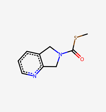 CSC(=O)N1Cc2cccnc2C1